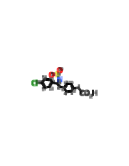 O=C(O)Cc1ccc(CC(N=S(=O)=O)c2ccc(Cl)cc2)cc1